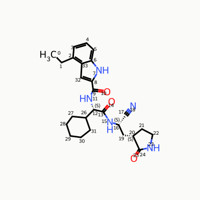 CCc1cccc2[nH]c(C(=O)N[C@H](C(=O)N[C@H](C#N)C[C@@H]3CCNC3=O)C3CCCCC3)cc12